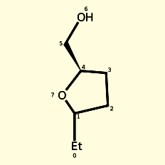 CCC1CC[C@H](CO)O1